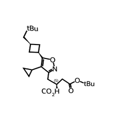 CC(C)(C)C[C@H]1C[C@@H](c2onc(C[C@@H](CC(=O)OC(C)(C)C)C(=O)O)c2C2CC2)C1